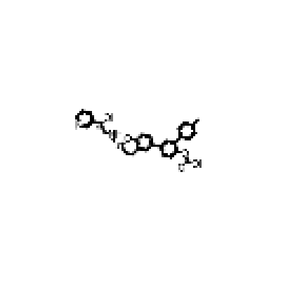 Cc1ccc(-c2cc(-c3ccc4c(c3)CC[C@H](CNC[C@H](O)c3cccnc3)O4)ccc2OC(=O)O)cc1